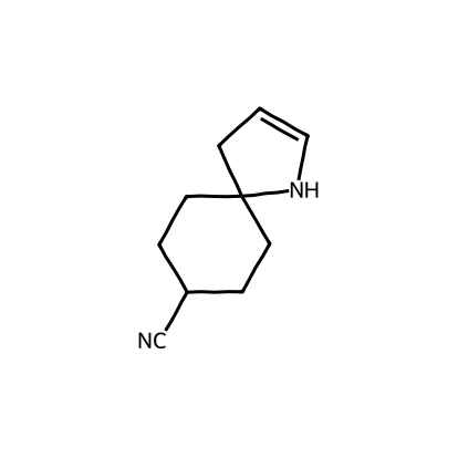 N#CC1CCC2(CC=CN2)CC1